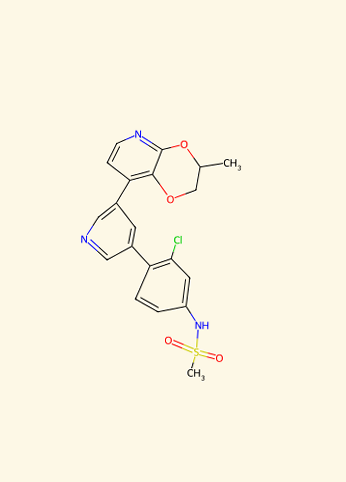 CC1COc2c(-c3cncc(-c4ccc(NS(C)(=O)=O)cc4Cl)c3)ccnc2O1